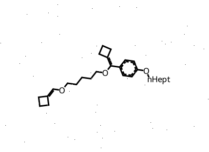 CCCCCCCOc1ccc(C(OCCCCCOC=C2CCC2)=C2CCC2)cc1